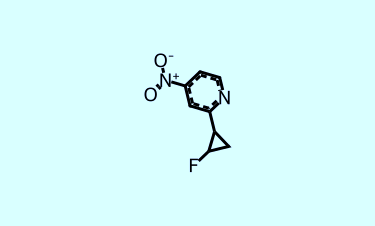 O=[N+]([O-])c1ccnc(C2CC2F)c1